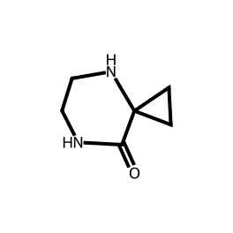 O=C1NCCNC12CC2